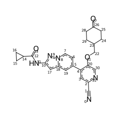 N#Cc1cc(-c2ccn3nc(NC(=O)C4CC4)cc3c2)c(OCC2CCC(=O)CC2)cn1